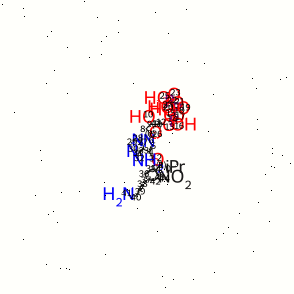 CC(C)[C@@H](OCc1cn([C@H]2CC(O)[C@@H](COP(=O)(O)OP(=O)(O)OP(=O)(O)O)O2)c2ncnc(N)c12)c1ccc(C#CCN)cc1[N+](=O)[O-]